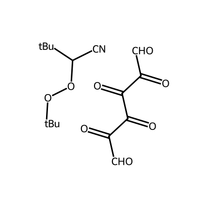 CC(C)(C)OOC(C#N)C(C)(C)C.O=CC(=O)C(=O)C(=O)C(=O)C=O